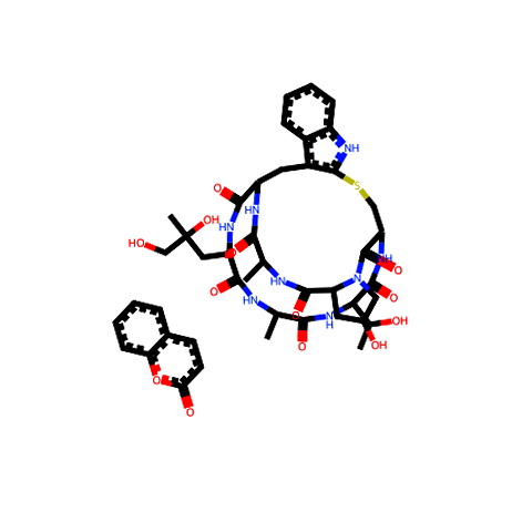 CC1NC(=O)C(CC(C)(O)CO)NC(=O)C2Cc3c([nH]c4ccccc34)SCC(NC(=O)C(C(C)O)NC1=O)C(=O)N1CC(O)CC1C(=O)NC(C)C(=O)N2.O=c1ccc2ccccc2o1